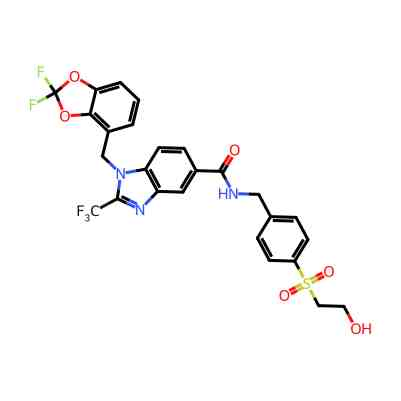 O=C(NCc1ccc(S(=O)(=O)CCO)cc1)c1ccc2c(c1)nc(C(F)(F)F)n2Cc1cccc2c1OC(F)(F)O2